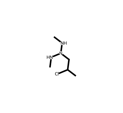 CNN(CC(C)Cl)NC